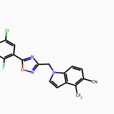 N#Cc1ccc2c(ccn2Cc2noc(-c3cc(Cl)ccc3F)n2)c1C(F)(F)F